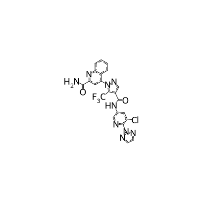 NC(=O)c1cc(-n2ncc(C(=O)Nc3cnc(-n4nccn4)c(Cl)c3)c2C(F)(F)F)c2ccccc2n1